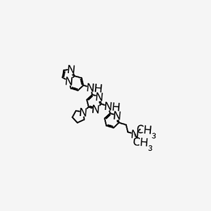 CN(C)CCc1cccc(Nc2nc(Nc3ccn4ccnc4c3)cc(N3CCCC3)n2)n1